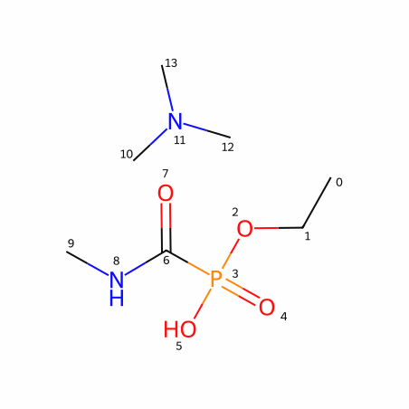 CCOP(=O)(O)C(=O)NC.CN(C)C